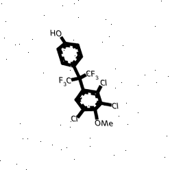 COc1c(Cl)cc(C(c2ccc(O)cc2)(C(F)(F)F)C(F)(F)F)c(Cl)c1Cl